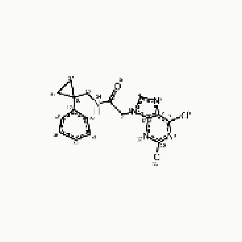 O=C(Cn1cnc2c(Cl)nc(Cl)nc21)NCC1(c2ccccc2)CC1